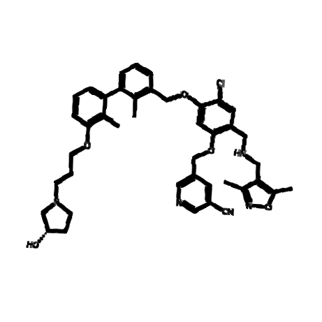 Cc1noc(C)c1CNCc1cc(Cl)c(OCc2cccc(-c3cccc(OCCCN4CC[C@H](O)C4)c3C)c2C)cc1OCc1cncc(C#N)c1